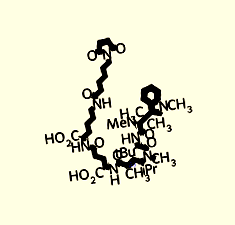 CN[C@H](C(=O)N[C@H](C(=O)N(C)[C@H](/C=C(\C)C(=O)N[C@H](CCC(=O)N[C@@H](CCCCNC(=O)CCCCCN1C(=O)C=CC1=O)C(=O)O)C(=O)O)C(C)C)C(C)(C)C)C(C)(C)c1cn(C)c2ccccc12